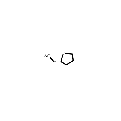 N#CC[C@H]1CCCO1